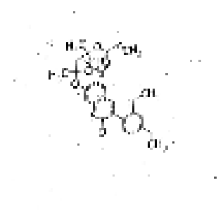 C=CC(=O)OC(C)(C)CC(C)(C)Oc1ccc2cc(-c3ccc(CC)cc3CC)c(=O)sc2c1